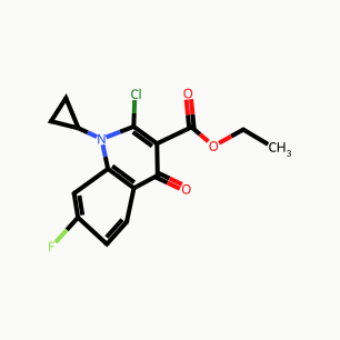 CCOC(=O)c1c(Cl)n(C2CC2)c2cc(F)ccc2c1=O